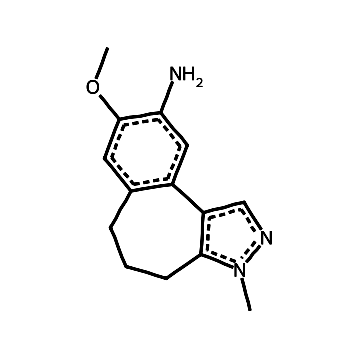 COc1cc2c(cc1N)-c1cnn(C)c1CCC2